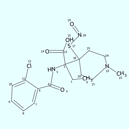 CCC(NC(=O)c1ccccc1Cl)(C(=O)O)C1(SN=O)CCN(C)CC1